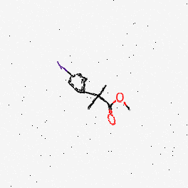 COC(=O)C(C)(C)c1ccc(I)cc1